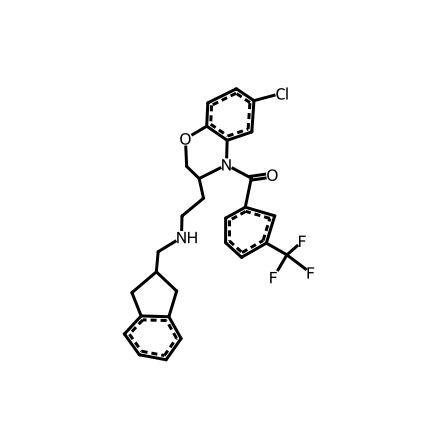 O=C(c1cccc(C(F)(F)F)c1)N1c2cc(Cl)ccc2OCC1CCNCC1Cc2ccccc2C1